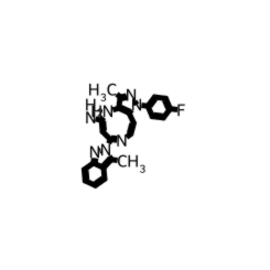 Cc1nn(-c2ccc(F)cc2)c2ccnc(-n3nc4ccccc4c3C)cc(N)[nH]c12